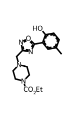 CCOC(=O)N1CCN(Cc2noc(-c3cc(C)ccc3O)n2)CC1